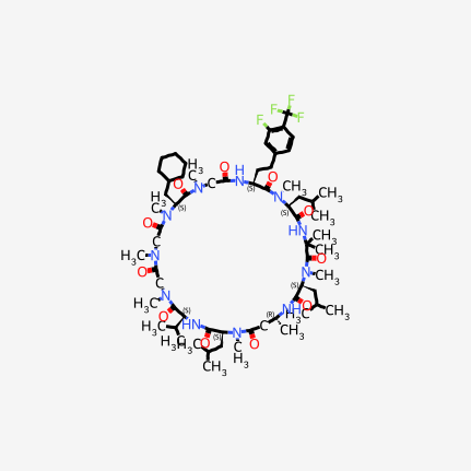 CC(C)C[C@H]1C(=O)N[C@@H](C(C)C)C(=O)N(C)CC(=O)N(C)CC(=O)N(C)[C@@H](CC2CCCCC2)C(=O)N(C)CC(=O)N[C@@H](CCc2ccc(C(F)(F)F)c(F)c2)C(=O)N(C)[C@@H](CC(C)C)C(=O)NC(C)(C)C(=O)N(C)[C@@H](CC(C)C)C(=O)N[C@H](C)CC(=O)N1C